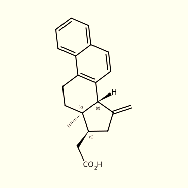 C=C1C[C@@H](CC(=O)O)[C@@]2(C)CCc3c(ccc4ccccc34)[C@H]12